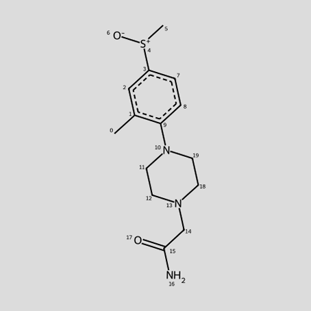 Cc1cc([S+](C)[O-])ccc1N1CCN(CC(N)=O)CC1